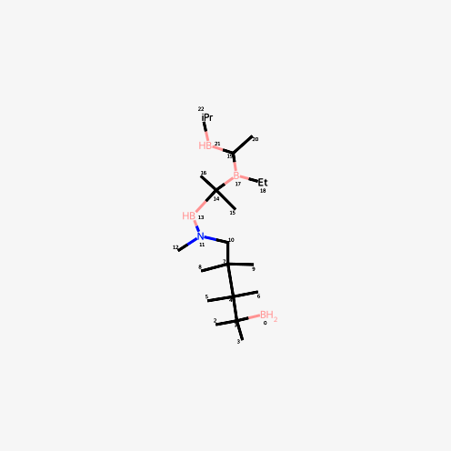 BC(C)(C)C(C)(C)C(C)(C)CN(C)BC(C)(C)B(CC)C(C)BC(C)C